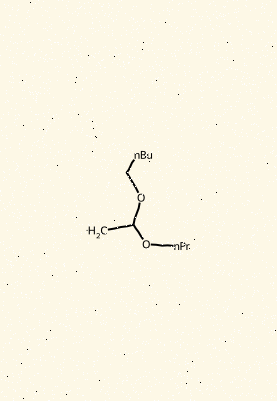 [CH2]C(OCCC)OCCCCC